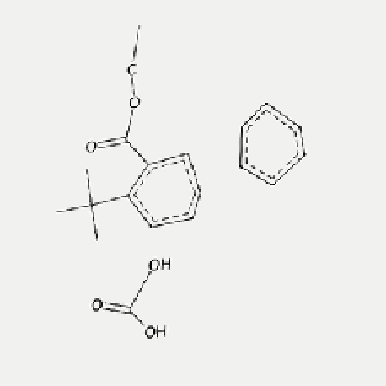 CCOC(=O)c1ccccc1C(C)(C)C.O=C(O)O.c1ccccc1